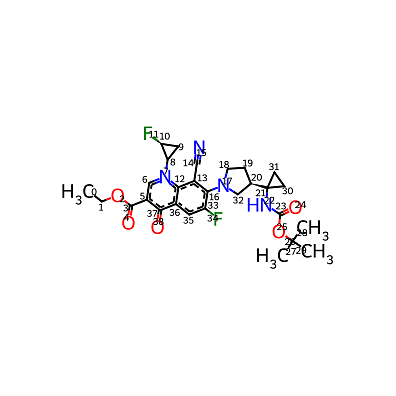 CCOC(=O)c1cn(C2C[C@@H]2F)c2c(C#N)c(N3CC[C@@H](C4(NC(=O)OC(C)(C)C)CC4)C3)c(F)cc2c1=O